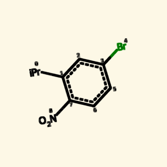 [CH2]C(C)c1cc(Br)ccc1[N+](=O)[O-]